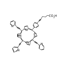 O=C(O)CCCC#Cc1ccc(-c2c3nc(c(C#Cc4ccccn4)c4ccc([nH]4)c(C#Cc4ccccn4)c4nc(c(C#Cc5ccccn5)c5ccc2s5)C=C4)C=C3)cc1